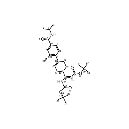 CC(C)NC(=O)c1ccc(C2=CCN(/C(=N\C(=O)OC(C)(C)C)NC(=O)OC(C)(C)C)CC2)c(F)c1